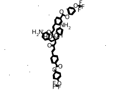 Nc1ccc(CC(CC(=O)C=Cc2ccc(C(=O)Oc3ccc(OC(F)(F)F)cc3)cc2)(Cc2ccc(N)cc2)C(O)(O)C(=O)C=Cc2ccc(C(=O)Oc3ccc(OC(F)(F)F)cc3)cc2)cc1